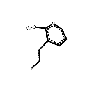 COc1ncccc1CCI